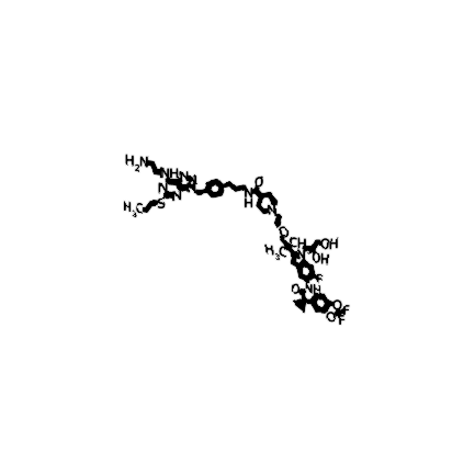 CCCSc1nc(NCCN)c2nnn(Cc3ccc(CCCNC(=O)C4CCN(CCOCC(C)(C)c5cc6cc(NC(=O)C7(c8ccc9c(c8)OC(F)(F)O9)CC7)c(F)cc6n5C[C@@H](O)CO)CC4)cc3)c2n1